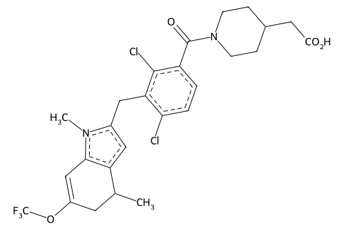 CC1CC(OC(F)(F)F)=Cc2c1cc(Cc1c(Cl)ccc(C(=O)N3CCC(CC(=O)O)CC3)c1Cl)n2C